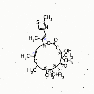 C/C1=C/C[C@@H](/C(C)=C/c2csc(C)n2)OC(=O)C[C@H](O)C(C)(C)C(=O)[C@H](C)[C@@H](O)[C@@H](C)CC(C)C1